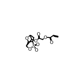 C=CC(=O)OCC(=O)OC1C2CC3C(O2)C1OS3(=O)=O